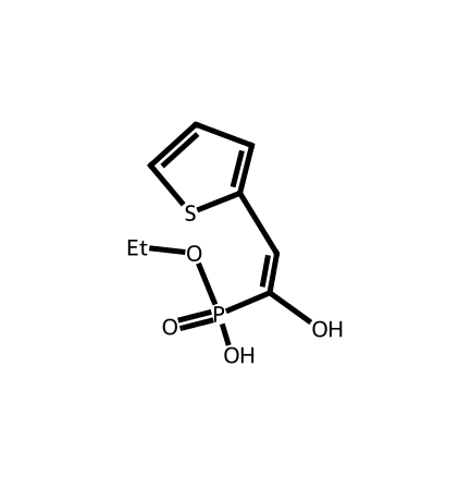 CCOP(=O)(O)C(O)=Cc1cccs1